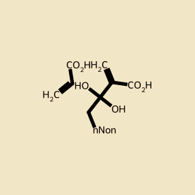 C=C(C(=O)O)C(O)(O)CCCCCCCCCC.C=CC(=O)O